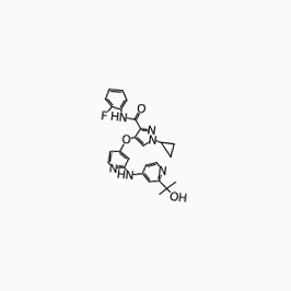 CC(C)(O)c1cc(Nc2cc(Oc3cn(C4CC4)nc3C(=O)Nc3ccccc3F)ccn2)ccn1